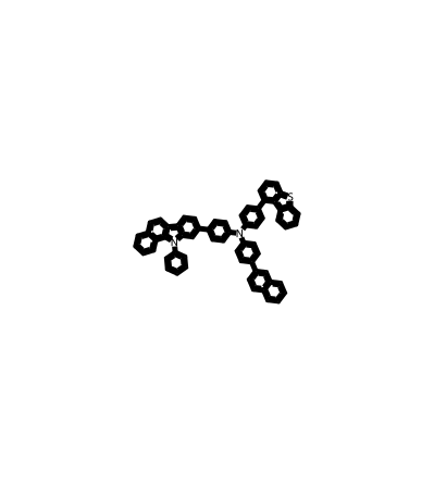 c1ccc(-n2c3cc(-c4ccc(N(c5ccc(-c6ccc7ccccc7c6)cc5)c5ccc(-c6cccc7sc8ccccc8c67)cc5)cc4)ccc3c3ccc4ccccc4c32)cc1